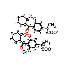 CC(C(=O)[O-])c1ccc2c(c1)OCC1CCCCC1C2=O.CC(C(=O)[O-])c1ccc2c(c1)OCC1CCCCC1C2=O.[Ca+2]